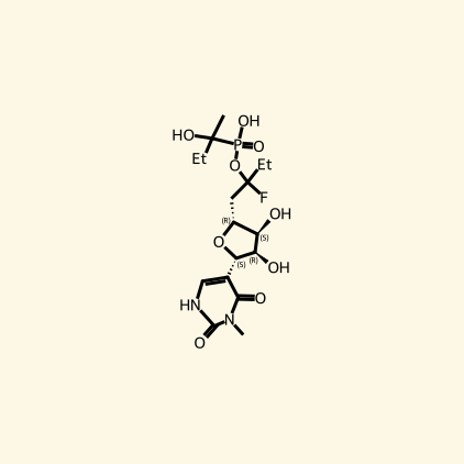 CCC(F)(C[C@H]1O[C@@H](c2c[nH]c(=O)n(C)c2=O)[C@H](O)[C@@H]1O)OP(=O)(O)C(C)(O)CC